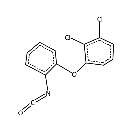 O=C=Nc1ccccc1Oc1cccc(Cl)c1Cl